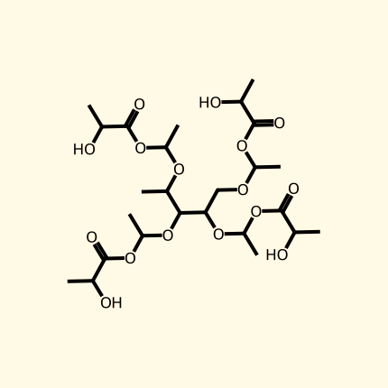 CC(OCC(OC(C)OC(=O)C(C)O)C(OC(C)OC(=O)C(C)O)C(C)OC(C)OC(=O)C(C)O)OC(=O)C(C)O